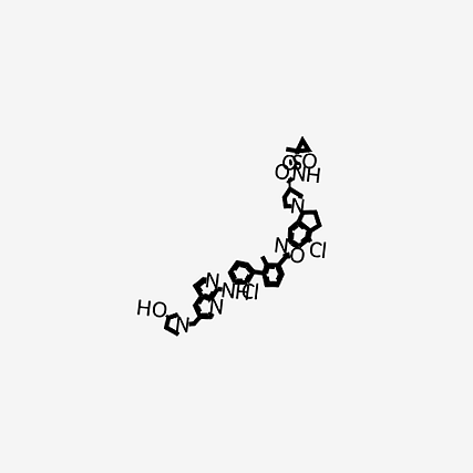 Cc1c(-c2nc3cc4c(c(Cl)c3o2)CC[C@H]4N2CC[C@@H](C(=O)NS(=O)(=O)C3(C)CC3)C2)cccc1-c1cccc(Nc2nccc3cc(CN4CC[C@@H](O)C4)cnc23)c1Cl